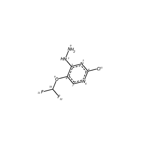 NNc1nc(Cl)ncc1OC(F)F